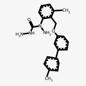 Cc1ccc(-c2cccc(OCc3c(C)cccc3N(N)C(=O)NN)c2)cc1